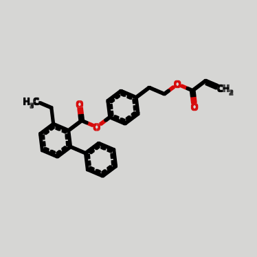 C=CC(=O)OCCc1ccc(OC(=O)c2c(CC)cccc2-c2ccccc2)cc1